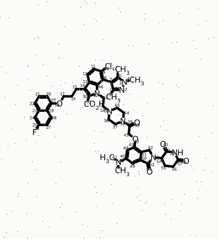 Cc1nn(C)c(C)c1-c1c(Cl)ccc2c(CCCOc3cccc4cc(F)ccc34)c(C(=O)O)n(CCN3CCN(C(=O)COc4cc(N(C)C)cc5c4CN(C4CCC(=O)NC4=O)C5=O)CC3)c12